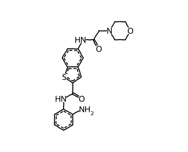 Nc1ccccc1NC(=O)c1cc2cc(NC(=O)CN3CCOCC3)ccc2s1